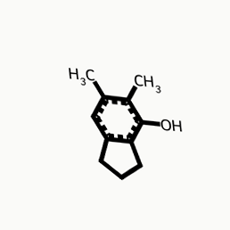 Cc1cc2c(c(O)c1C)CCC2